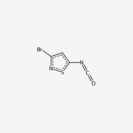 O=C=Nc1cc(Br)ns1